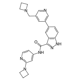 O=C(Nc1ccnc(N2CCC2)c1)c1n[nH]c2ccc(-c3cncc(CN4CCC4)c3)cc12